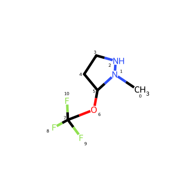 CN1N[CH]CC1OC(F)(F)F